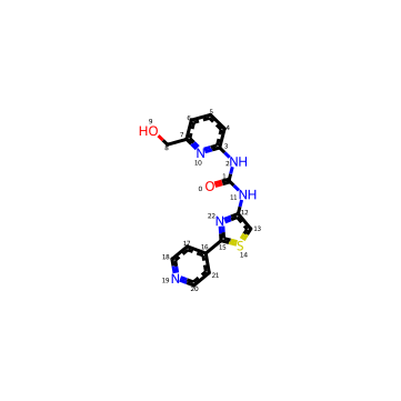 O=C(Nc1cccc(CO)n1)Nc1csc(-c2ccncc2)n1